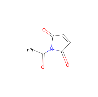 CCCC(=O)N1C(=O)C=CC1=O